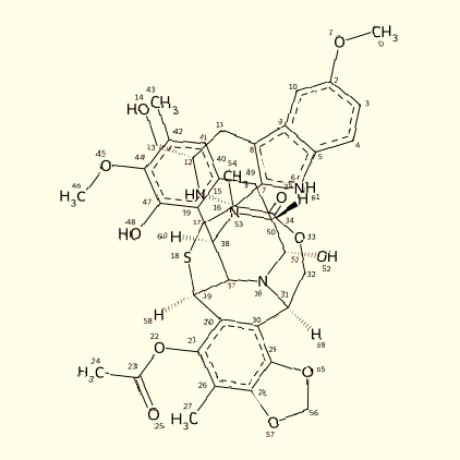 COc1ccc2[nH]c3c(c2c1)C[C@@H](CO)N[C@]31CS[C@@H]2c3c(OC(C)=O)c(C)c4c(c3[C@H](COC1=O)N1C2[C@H]2c3c(cc(C)c(OC)c3O)C[C@H]([C@@H]1O)N2C)OCO4